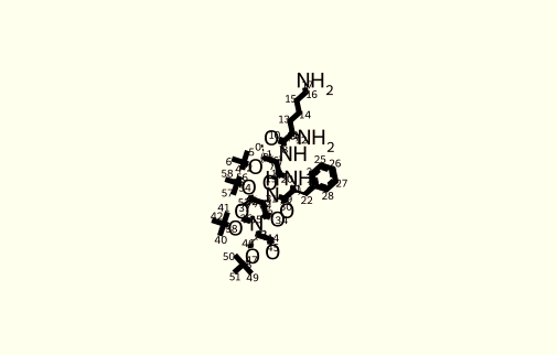 C[C@@H](OC(C)(C)C)[C@H](NC(=O)[C@@H](N)CCCCN)C(=O)N[C@@H](Cc1ccccc1)C(=O)N[C@H](C(=O)N(C(=O)OC(C)(C)C)[C@H]([C]=O)COC(C)(C)C)[C@@H](C)OC(C)(C)C